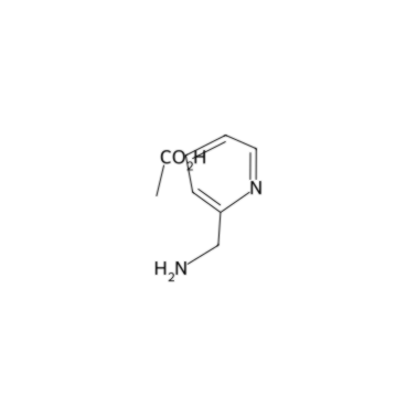 CC(=O)O.NCc1ccccn1